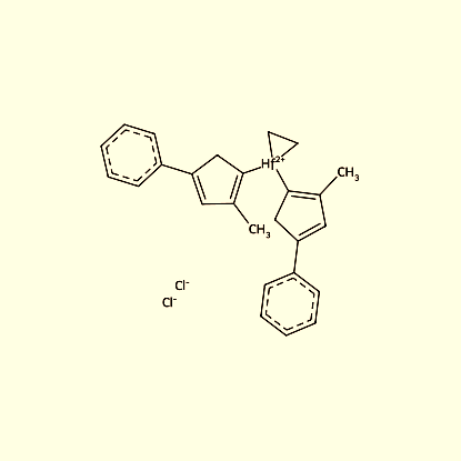 CC1=[C]([Hf+2]2([C]3=C(C)C=C(c4ccccc4)C3)[CH2][CH2]2)CC(c2ccccc2)=C1.[Cl-].[Cl-]